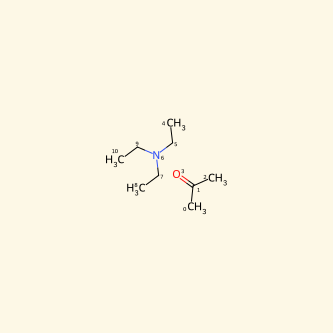 CC(C)=O.CCN(CC)CC